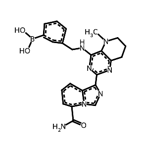 CN1CCCc2nc(-c3ncn4c(C(N)=O)cccc34)nc(NCc3cccc(B(O)O)c3)c21